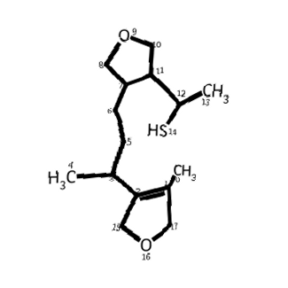 CC1=C(C(C)CCC2COCC2C(C)S)COC1